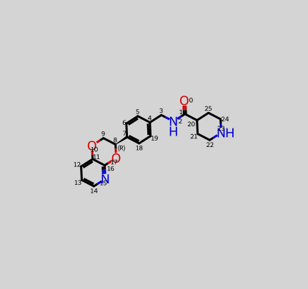 O=C(NCc1ccc([C@@H]2COc3cccnc3O2)cc1)C1CCNCC1